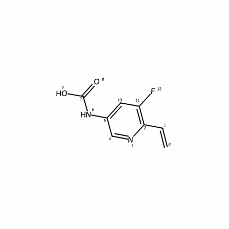 C=Cc1ncc(NC(=O)O)cc1F